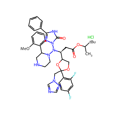 COc1ccccc1C1CNCCN1N([C@@H](CC(=O)OC(C)C(C)(C)C)C1COC(Cn2cncn2)(c2ccc(F)cc2F)O1)n1nc(-c2ccccc2)[nH]c1=O.Cl